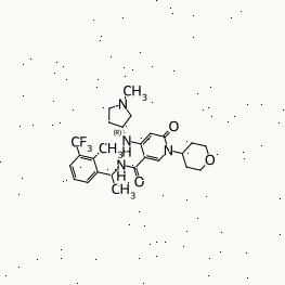 Cc1c(C(C)NC(=O)c2cn(C3CCOCC3)c(=O)cc2N[C@@H]2CCN(C)C2)cccc1C(F)(F)F